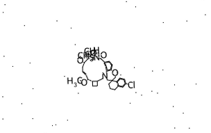 CC[C@@H]1[C@H](OC)C/C=C/C(OC)C2CCC2CN2CC3(CCCc4cc(Cl)ccc43)COc3ccc(cc32)C(=O)NS1(=O)=O